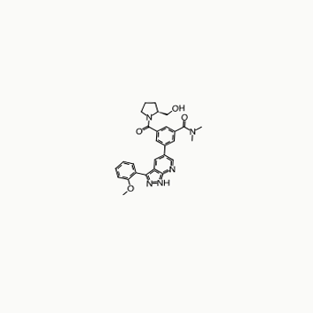 COc1ccccc1-c1n[nH]c2ncc(-c3cc(C(=O)N(C)C)cc(C(=O)N4CCC[C@H]4CO)c3)cc12